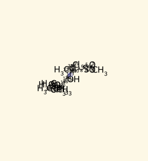 COC(=O)c1ccc(CCC[C@@H]2[C@@H](/C=C/[C@@H](O)CCCC[C@@H](C)O[Si](C)(C)C(C)(C)C)[C@H](C)C[C@H]2Cl)s1